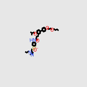 CCCCOCCOc1ccc(-c2ccc(OCC(C)C)c(/C=C/C(=O)Nc3ccc([S+]([O-])Cc4cncn4CCC)cc3)c2)cc1